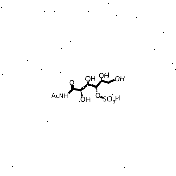 CC(=O)NC(=O)[C@H](O)[C@@H](O)[C@@H](OS(=O)(=O)O)[C@H](O)CO